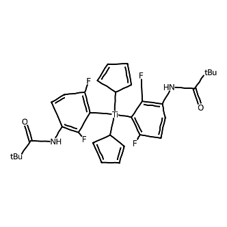 CC(C)(C)C(=O)Nc1ccc(F)[c]([Ti]([c]2c(F)ccc(NC(=O)C(C)(C)C)c2F)([CH]2C=CC=C2)[CH]2C=CC=C2)c1F